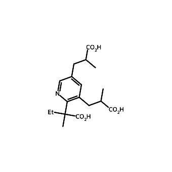 CCC(C)(C(=O)O)c1ncc(CC(C)C(=O)O)cc1CC(C)C(=O)O